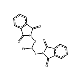 CCC(ON1C(=O)c2ccccc2C1=O)ON1C(=O)c2ccccc2C1=O